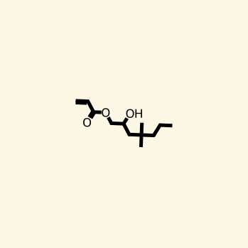 C=CC(=O)OCC(O)CC(C)(C)CCC